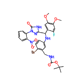 COc1cc(F)c(C(Nc2ccc(Br)c(CNC(=O)OC(C)(C)C)c2)c2nn(-c3ccccc3[N+](=O)[O-])c(=O)[nH]2)cc1OC